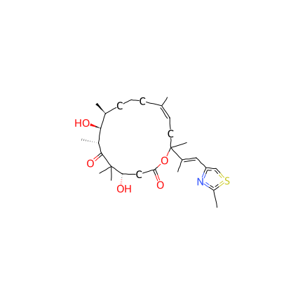 C/C1=C/CC(C)(/C(C)=C/c2csc(C)n2)OC(=O)C[C@H](O)C(C)(C)C(=O)[C@H](C)[C@@H](O)[C@@H](C)CCC1